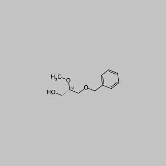 CO[C@@H](CO)COCc1ccccc1